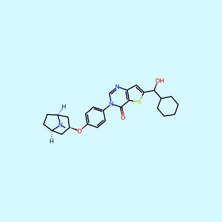 CN1[C@@H]2CC[C@H]1C[C@@H](Oc1ccc(-n3cnc4cc(C(O)C5CCCCC5)sc4c3=O)cc1)C2